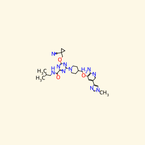 CC(C)CNC(=O)c1nc(OCC2(C#N)CC2)nc(N2CCC(COc3cc(-c4cn(C)cn4)cnc3N)CC2)n1